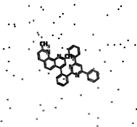 Cc1ccc2ccc3c(-c4ccccc4-c4nc(-c5ccccc5)cc(-c5ccccc5)n4)cc(C)nc3c2n1